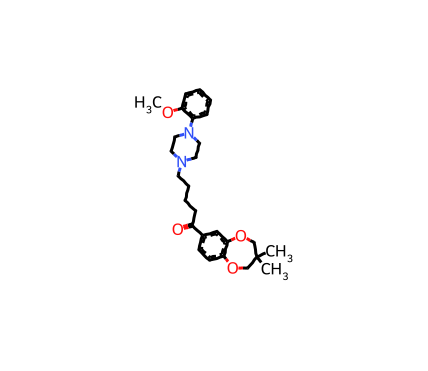 COc1ccccc1N1CCN(CCCCC(=O)c2ccc3c(c2)OCC(C)(C)CO3)CC1